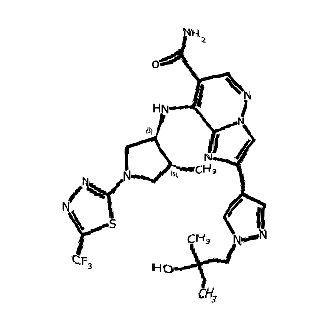 C[C@H]1CN(c2nnc(C(F)(F)F)s2)C[C@H]1Nc1c(C(N)=O)cnn2cc(-c3cnn(CC(C)(C)O)c3)nc12